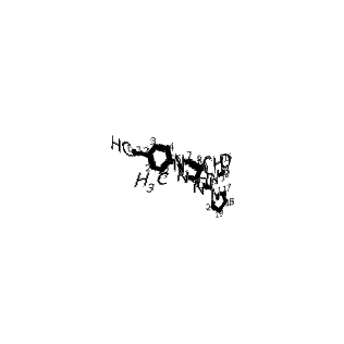 C#Cc1ccc(-n2cc(C)c(/N=C(\NC=O)N3CCCC3)n2)c(C)c1